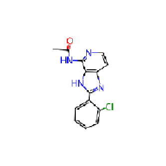 CC(=O)Nc1nccc2nc(-c3ccccc3Cl)[nH]c12